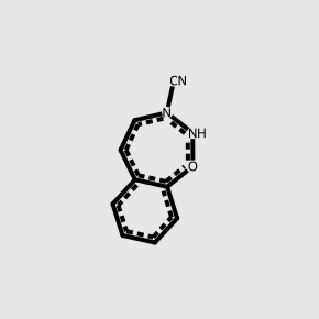 N#Cn1ccc2ccccc2o[nH]1